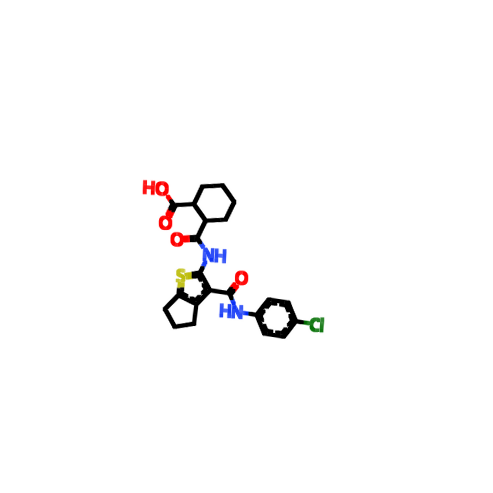 O=C(Nc1ccc(Cl)cc1)c1c(NC(=O)C2CCCCC2C(=O)O)sc2c1CCC2